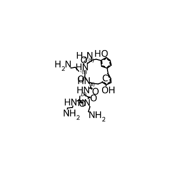 NCCC[C@@H]1NC(=O)[C@@H](N)Cc2cc(ccc2O)-c2ccc(O)c(c2)C[C@@H](C(=O)N[C@@H](CC(=O)NCCN)C(=O)NCCN)NC1=O